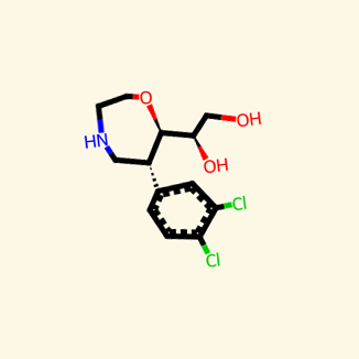 OC[C@@H](O)[C@@H]1OCCNC[C@H]1c1ccc(Cl)c(Cl)c1